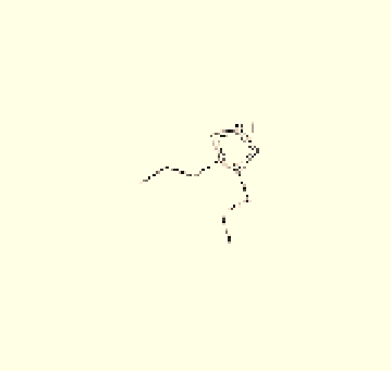 CCCc1[c][nH]cc1CCC